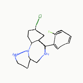 Fc1ccccc1C1NCC2CCNN2C2CCC(Cl)CC12